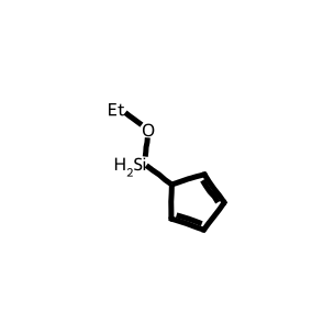 CCO[SiH2]C1C=CC=C1